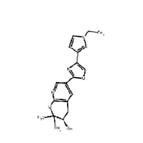 CCn1ccc(-c2noc(-c3cnc4c(c3)C[C@@H](O)C(C)(C)O4)n2)n1